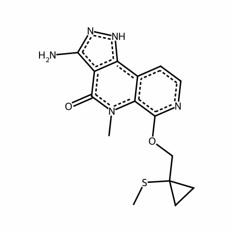 CSC1(COc2nccc3c4[nH]nc(N)c4c(=O)n(C)c23)CC1